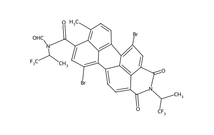 Cc1ccc2c3c(Br)cc4c5c(ccc(c6c(Br)cc(C(=O)N(C=O)C(C)C(F)(F)F)c1c26)c53)C(=O)N(C(C)C(F)(F)F)C4=O